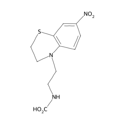 O=C(O)NCCN1CCSc2cc([N+](=O)[O-])ccc21